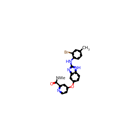 CNC(=O)c1cc(Oc2ccc3[nH]c(Nc4ccc(C)cc4Br)nc3c2)ccn1